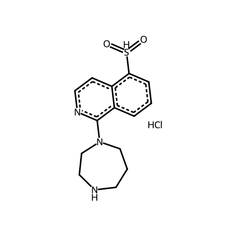 Cl.O=[SH](=O)c1cccc2c(N3CCCNCC3)nccc12